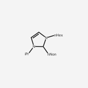 CCCCCCCCCC1N(CCCCCC)C=CN1C(C)C